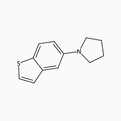 c1cc2cc(N3CCCC3)ccc2s1